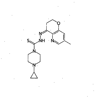 Cc1cnc2c(c1)OCC/C2=N/NC(=S)N1CCN(C2CC2)CC1